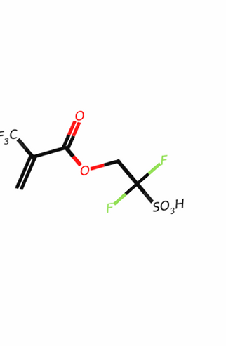 C=C(C(=O)OCC(F)(F)S(=O)(=O)O)C(F)(F)F